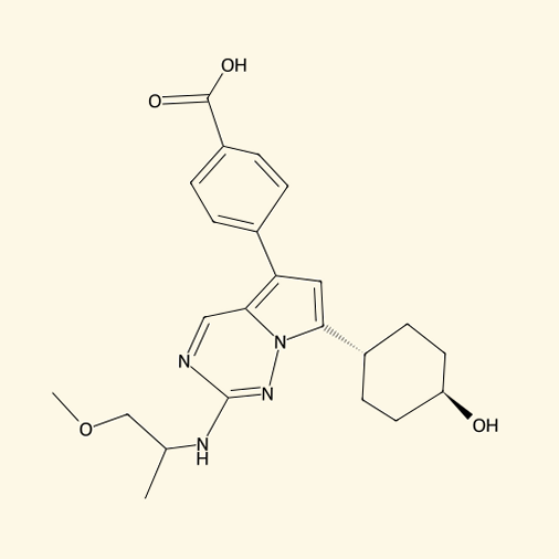 COCC(C)Nc1ncc2c(-c3ccc(C(=O)O)cc3)cc([C@H]3CC[C@H](O)CC3)n2n1